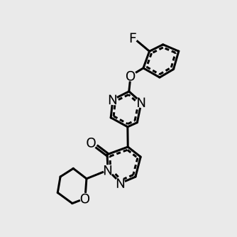 O=c1c(-c2cnc(Oc3ccccc3F)nc2)ccnn1C1CCCCO1